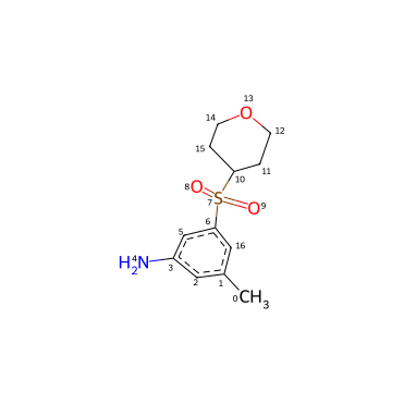 Cc1cc(N)cc(S(=O)(=O)C2CCOCC2)c1